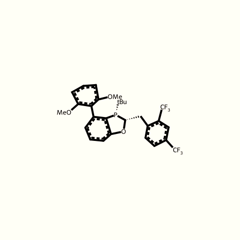 COc1cccc(OC)c1-c1cccc2c1[P@](C(C)(C)C)[C@H](Cc1ccc(C(F)(F)F)cc1C(F)(F)F)O2